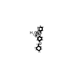 CS(=O)(=O)N(Cc1cccnc1)c1ccc(OCC2CCCCC2)cc1